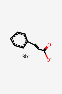 O=C([O-])C=Cc1ccccc1.[Rb+]